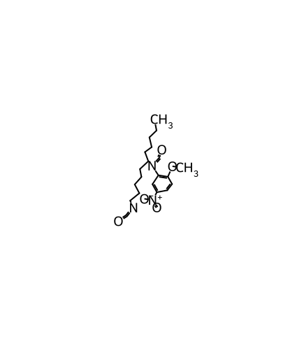 CCCCCCCCCCCN=C=O.COc1ccc([N+](=O)[O-])cc1N=C=O